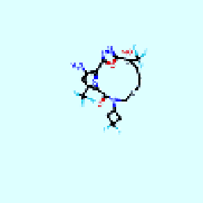 Nc1cc(C(F)(F)F)c2nc1-c1nnc(o1)[C@@](O)(C(F)(F)F)CCCCCN(C1CC(F)(F)C1)C2=O